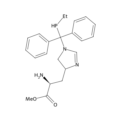 CCPC(c1ccccc1)(c1ccccc1)N1C=NC(C[C@H](N)C(=O)OC)C1